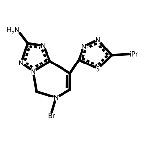 CC(C)c1nnc(C2=CN(Br)Cn3nc(N)nc32)s1